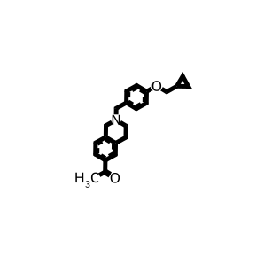 CC(=O)c1ccc2c(c1)CCN(Cc1ccc(OCC3CC3)cc1)C2